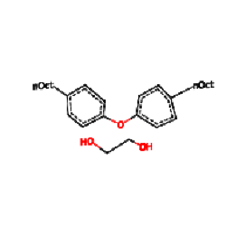 CCCCCCCCc1ccc(Oc2ccc(CCCCCCCC)cc2)cc1.OCCO